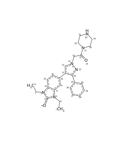 CCn1c(=O)n(CC)c2cc(-c3cn(CC(=O)N4CCNCC4)nc3-c3ccccc3)ccc21